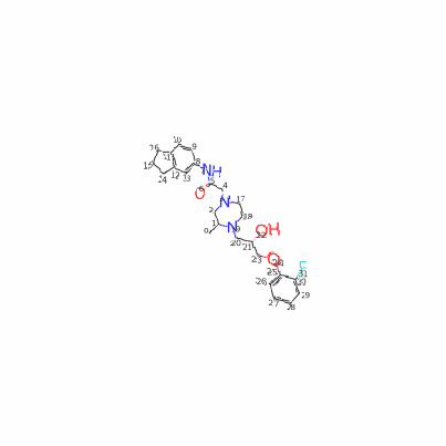 C[C@H]1CN(CC(=O)Nc2ccc3c(c2)CCC3)CCN1C[C@H](O)COc1ccccc1F